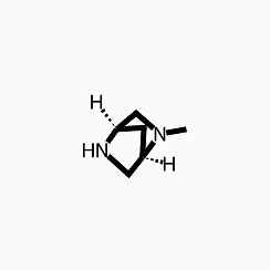 CN1C[C@H]2C[C@@H]1CN2